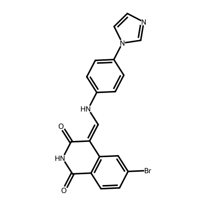 O=C1NC(=O)c2ccc(Br)cc2C1=CNc1ccc(-n2ccnc2)cc1